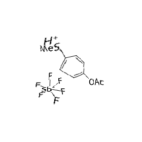 CSc1ccc(OC(C)=O)cc1.[F][Sb-]([F])([F])([F])([F])[F].[H+]